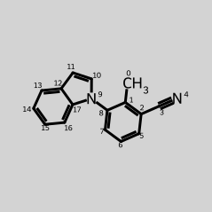 Cc1c(C#N)cccc1-n1ccc2ccccc21